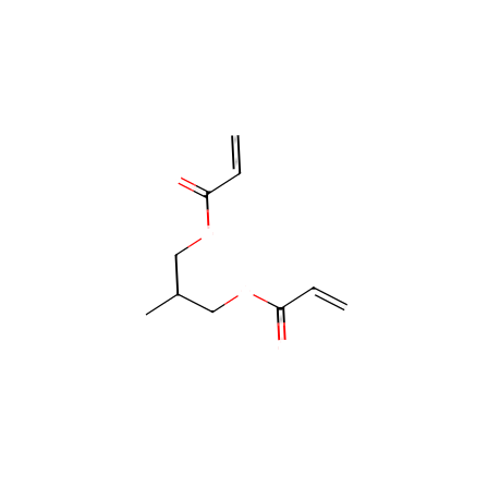 [CH2]C(COC(=O)C=C)COC(=O)C=C